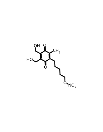 CC1=C(CCCCCO[N+](=O)[O-])C(=O)C(CO)=C(CO)C1=O